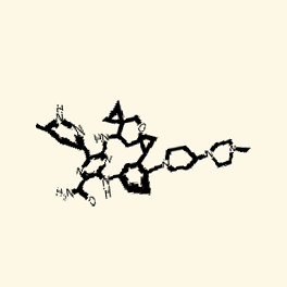 Cc1cc(-c2nc(C(N)=O)c(Nc3ccc(N4CCC(N5CCN(C)CC5)CC4)c(C4CC4)c3)nc2NC2CCOCC23CC3)n[nH]1